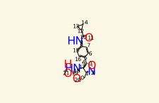 Cc1noc(-c2ccc(NC(=O)C3CC3)cc2)c1NC(=O)O